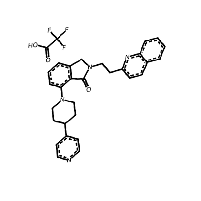 O=C(O)C(F)(F)F.O=C1c2c(cccc2N2CCC(c3ccncc3)CC2)CN1CCc1ccc2ccccc2n1